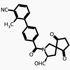 Cc1c(C#N)cccc1-c1ccc(C(=O)N2CC3(C[C@H]2C=O)C(=O)CCC3=O)cc1